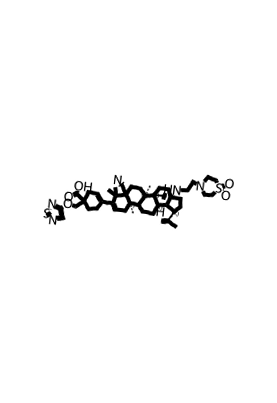 C#C[C@@]12CC[C@@]3(NCCN4CCS(=O)(=O)CC4)CC[C@@H](C(=C)C)C3[C@H]1CCC1[C@@]3(C)CC=C(C4=CCC(COc5cnsn5)(C(=O)O)CC4)C(C)(C)C3(C#N)CC[C@]12C